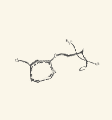 CC1(COc2cc(Cl)ncn2)CC1(Cl)Cl